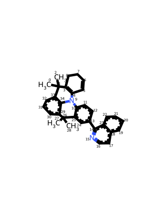 CC1(C)C2=C(C=CCC2)N2c3ccc(-c4nccc5ccccc45)cc3C(C)(C)c3cccc1c32